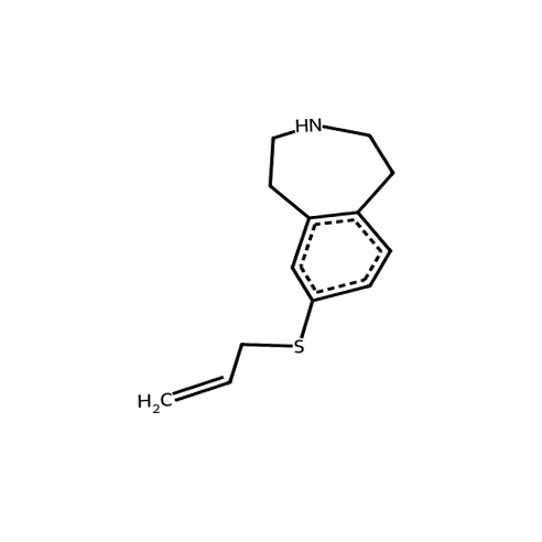 C=CCSc1ccc2c(c1)CCNCC2